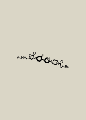 CC(=O)NC[C@H]1CN(c2ccc(-c3ccc(N4CCN(C(=O)OC(C)(C)C)CC4)nc3)c(F)c2)C(=O)O1